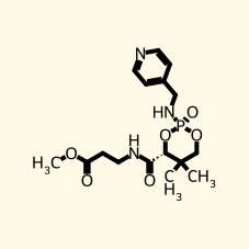 COC(=O)CCNC(=O)[C@@H]1OP(=O)(NCc2ccncc2)OCC1(C)C